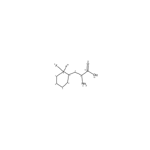 NC(CC1CCCCC1(F)F)C(=O)O